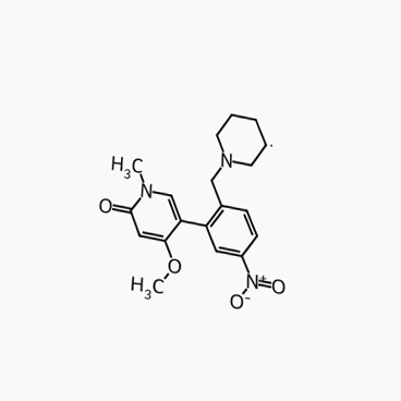 COc1cc(=O)n(C)cc1-c1cc([N+](=O)[O-])ccc1CN1C[CH]CCC1